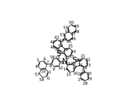 C1=Cc2c(cccc2-c2ccc(N(c3cccc4c3sc3cccc(-c5ccccc5)c34)c3cccc4c3sc3cccc(-c5ccc6ccccc6c5)c34)cc2)CC1